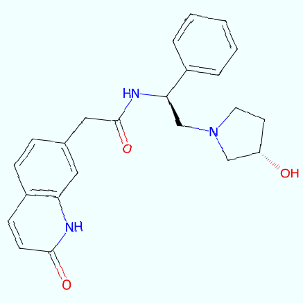 O=C(Cc1ccc2ccc(=O)[nH]c2c1)N[C@H](CN1CC[C@H](O)C1)c1ccccc1